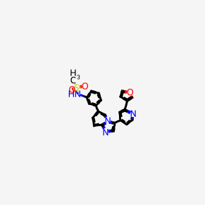 CS(=O)(=O)Nc1cccc(-c2ccc3ncc(-c4ccnc(-c5ccoc5)c4)n3c2)c1